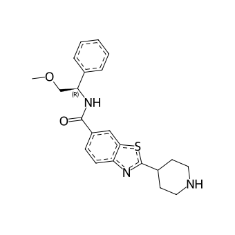 COC[C@H](NC(=O)c1ccc2nc(C3CCNCC3)sc2c1)c1ccccc1